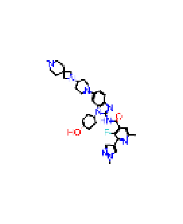 Cc1cc(C(=O)Nc2nc3ccc(N4CCC(N5CC6(CCN(C)CC6)C5)CC4)cc3n2[C@H]2CC[C@@H](O)CC2)c(F)c(-c2cnn(C)c2)n1